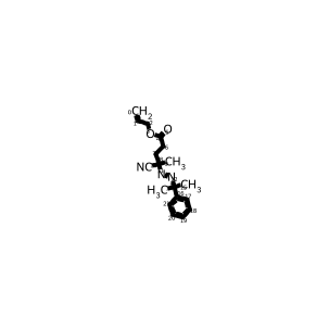 C=CCOC(=O)CCC(C)(C#N)N=NC(C)(C)c1ccccc1